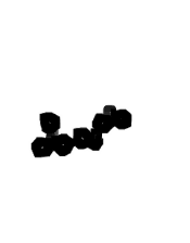 c1ccc(-n2c3ccccc3c3ccc(-c4ccc5c(ccn5-c5ccc6oc7ccccc7c6c5)c4)cc32)cc1